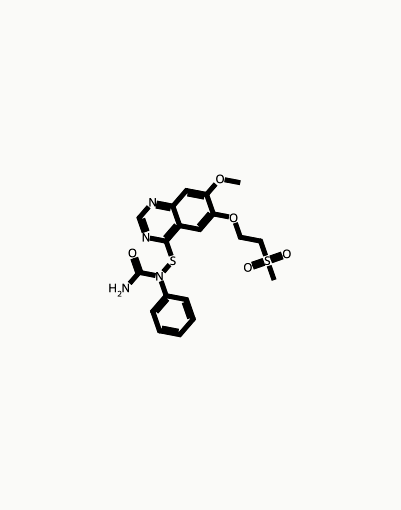 COc1cc2ncnc(SN(C(N)=O)c3ccccc3)c2cc1OCCS(C)(=O)=O